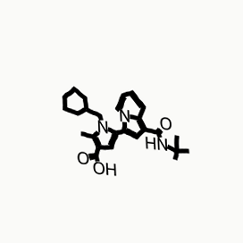 Cc1c(C(=O)O)cc(-c2cc(C(=O)NC(C)(C)C)c3ccccn23)n1CC1CCCCC1